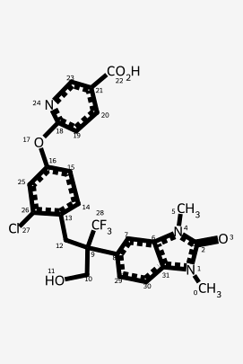 Cn1c(=O)n(C)c2cc(C(CO)(Cc3ccc(Oc4ccc(C(=O)O)cn4)cc3Cl)C(F)(F)F)ccc21